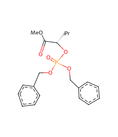 COC(=O)[C@@H](OP(=O)(OCc1ccccc1)OCc1ccccc1)C(C)C